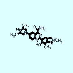 Cc1c(O)c(-c2nc(C(N)=O)c3cc(N4CC(C)NC(C)C4)ccc3n2)cc2cn(C)nc12